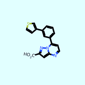 O=C(O)c1cc2nccc(-c3cccc(-c4ccsc4)c3)n2n1